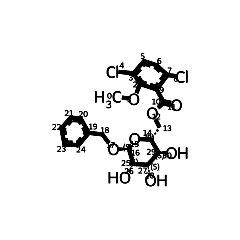 COc1c(Cl)ccc(Cl)c1C(=O)OC[C@H]1O[C@H](OCc2ccccc2)[C@@H](O)[C@@H](O)[C@@H]1O